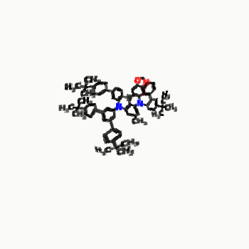 Cc1cc2c3c(c1)N(c1ccc(C(C)(C)C)cc1-c1ccccc1)c1cc4c(cc1B3c1ccc(-c3ccc(C(C)(C)C)cc3)cc1N2c1cc(-c2ccc(C(C)(C)C)cc2)cc(-c2ccc(C(C)(C)C)cc2)c1)OCO4